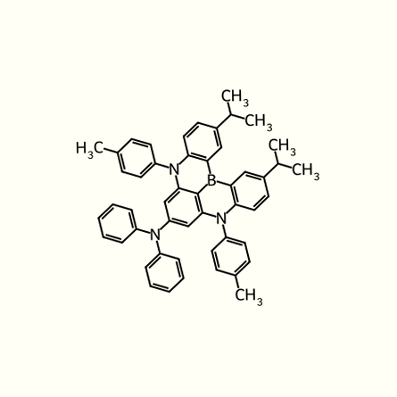 Cc1ccc(N2c3ccc(C(C)C)cc3B3c4cc(C(C)C)ccc4N(c4ccc(C)cc4)c4cc(N(c5ccccc5)c5ccccc5)cc2c43)cc1